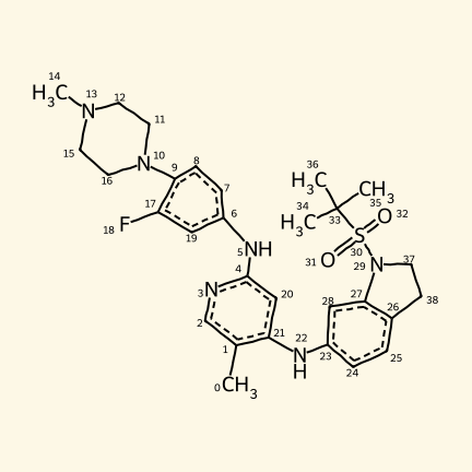 Cc1cnc(Nc2ccc(N3CCN(C)CC3)c(F)c2)cc1Nc1ccc2c(c1)N(S(=O)(=O)C(C)(C)C)CC2